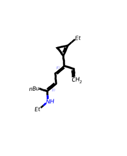 C=C/C(=C\C=C(/CCCC)NCC)C1=C(CC)C1